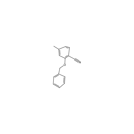 Cc1ccc(C#N)c(OCc2ccccc2)c1